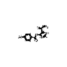 CC(=O)c1ccc(C(=O)Oc2nc[nH]c2C(N)=O)cc1